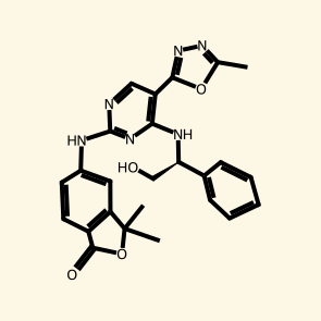 Cc1nnc(-c2cnc(Nc3ccc4c(c3)C(C)(C)OC4=O)nc2N[C@H](CO)c2ccccc2)o1